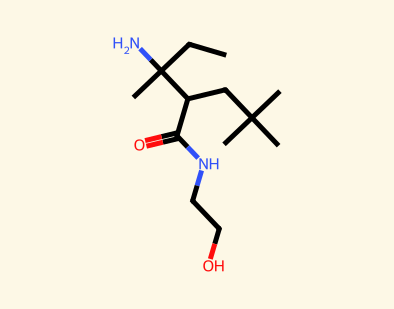 CCC(C)(N)C(CC(C)(C)C)C(=O)NCCO